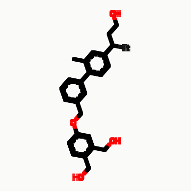 CCC(CCO)c1ccc(-c2cccc(COc3ccc(CO)c(CO)c3)c2)c(C)c1